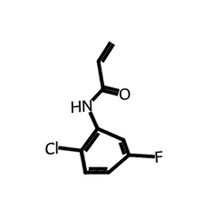 C=CC(=O)Nc1cc(F)ccc1Cl